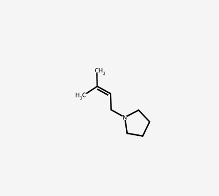 CC(C)=CCN1CCCC1